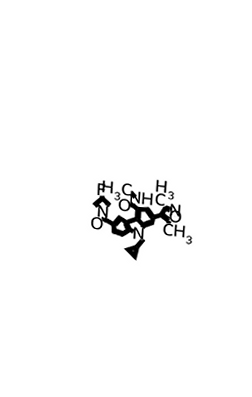 CNC(=O)c1cc(-c2c(C)noc2C)cc2c1c1cc(C(=O)N3CC(F)C3)ccc1n2CC1CC1